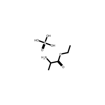 CCOC(=O)C(C)N.O=P(O)(O)O